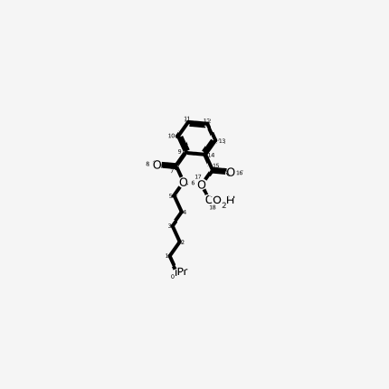 CC(C)CCCCCOC(=O)c1ccccc1C(=O)OC(=O)O